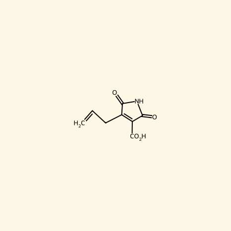 C=CCC1=C(C(=O)O)C(=O)NC1=O